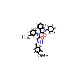 COc1ccc(CNCC(=O)N(c2cccc(C)c2)C2C(=O)N(C3CCCCC3)c3ccccc32)cc1